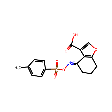 Cc1ccc(S(=O)(=O)O/N=C2\CCCc3occ(C(=O)O)c32)cc1